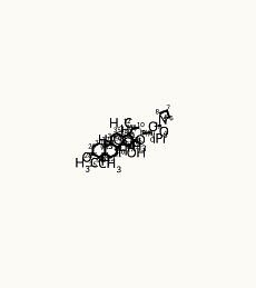 CC(C)[C@@H](OC(=O)N1CCC1)[C@H]1C[C@@H](C)[C@H]2[C@H](O1)[C@H](O)[C@@]1(C)[C@@H]3CC[C@H]4C(C)(C)C(=O)CC[C@@]45C[C@@]35CC[C@]21C